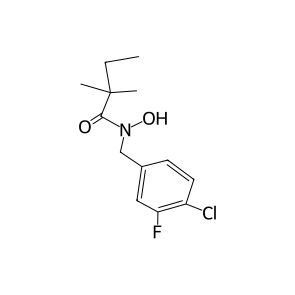 CCC(C)(C)C(=O)N(O)Cc1ccc(Cl)c(F)c1